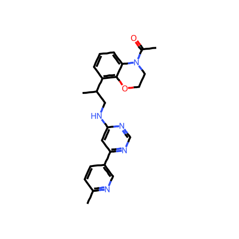 CC(=O)N1CCOc2c(C(C)CNc3cc(-c4ccc(C)nc4)ncn3)cccc21